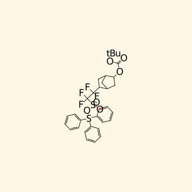 CC(C)(C)OC(=O)OC1CC2CC1CC2C(F)(F)C(F)(F)S(=O)(=O)OS(c1ccccc1)(c1ccccc1)c1ccccc1